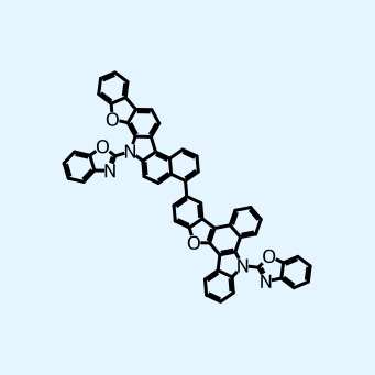 c1ccc2oc(-n3c4ccc5c(-c6ccc7oc8c(c7c6)c6ccccc6c6c8c7ccccc7n6-c6nc7ccccc7o6)cccc5c4c4ccc5c6ccccc6oc5c43)nc2c1